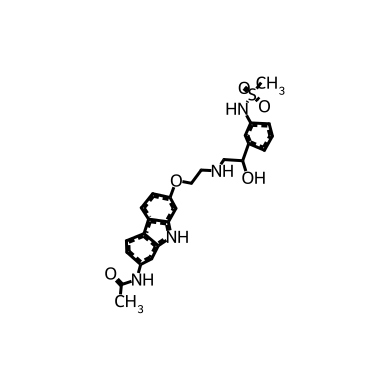 CC(=O)Nc1ccc2c(c1)[nH]c1cc(OCCNCC(O)c3cccc(NS(C)(=O)=O)c3)ccc12